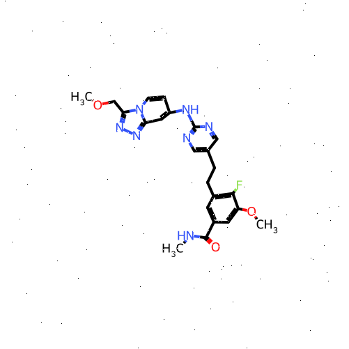 CNC(=O)c1cc(CCc2cnc(Nc3ccn4c(COC)nnc4c3)nc2)c(F)c(OC)c1